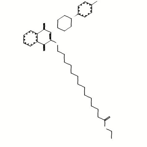 CCOC(=O)CCCCCCCCCCCCCOC1=C([C@H]2CC[C@H](c3ccc(Cl)cc3)CC2)C(=O)c2ccccc2C1=O